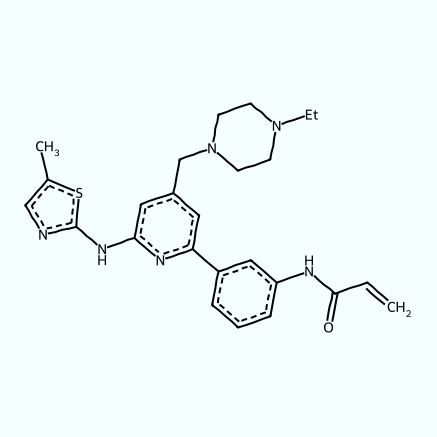 C=CC(=O)Nc1cccc(-c2cc(CN3CCN(CC)CC3)cc(Nc3ncc(C)s3)n2)c1